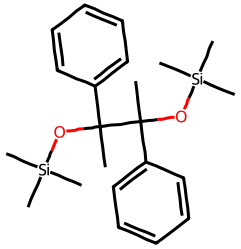 CC(O[Si](C)(C)C)(c1ccccc1)C(C)(O[Si](C)(C)C)c1ccccc1